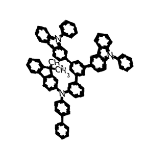 CC1(C)c2ccccc2-c2ccc(N(c3ccc(-c4ccccc4)cc3)c3cccc(-c4cc(-c5ccc6c(c5)c5ccccc5n6-c5ccccc5)cc(-c5ccc6c7ccccc7n(-c7ccccc7)c6c5)c4)c3)cc21